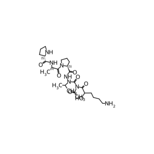 CC(=O)N(C(=O)C(O)CCCCN)C(=O)N(NC(=O)[C@@H]1CCCN1C(=O)[C@H](C)NC(=O)[C@@H]1CCCN1)C(C)C